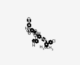 CC1(C)CCC(CN2CCN(c3ccc(C(=O)NS(=O)(=O)c4ccc(NC5CCC(N6CCOCC6)CC5)c([N+](=O)[O-])c4)c(Oc4cccc5[nH]ccc45)c3)CC2)=C(c2ccc(Cl)cc2)C1